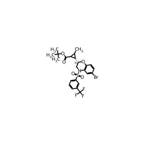 CC1C(C(=O)OC(C)(C)C)C1[C@H]1CN(S(=O)(=O)c2cccc(C(F)(F)F)c2)c2cc(Br)ccc2O1